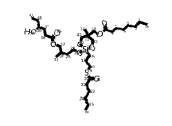 CCCCCCCC(=O)OCC1(C)CO[Si](CCCSC(=O)CCCCC)(OCCC(C)COC(=O)CCC(O)CC)OC1